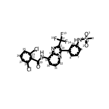 CS(=O)(=O)Nc1cccc(-c2c(C(F)(F)F)nc3c(NC(=O)c4c(Cl)cccc4Cl)cccn23)c1